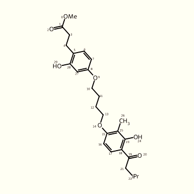 COC(=O)CCc1ccc(OCCCCOc2ccc(C(=O)CC(C)C)c(O)c2C)cc1O